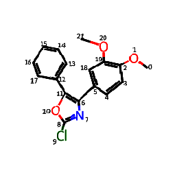 COc1ccc(-c2nc(Cl)oc2-c2ccccc2)cc1OC